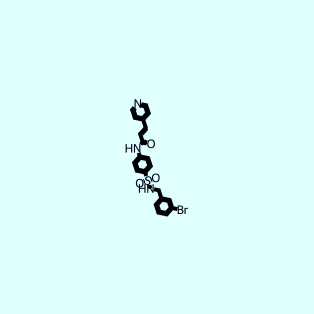 O=C(/C=C/c1ccncc1)Nc1ccc(S(=O)(=O)NCc2cccc(Br)c2)cc1